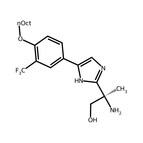 CCCCCCCCOc1ccc(-c2cnc([C@@](C)(N)CO)[nH]2)cc1C(F)(F)F